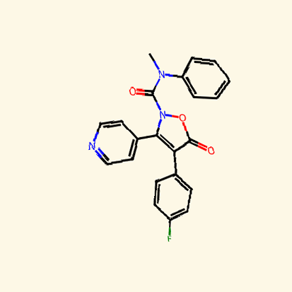 CN(C(=O)n1oc(=O)c(-c2ccc(F)cc2)c1-c1ccncc1)c1ccccc1